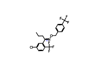 CCC/C(=N\OCc1ccc(C(F)(F)F)cc1)c1cc(Cl)ccc1C(F)(F)F